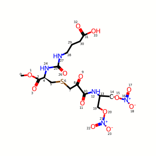 COC(=O)[C@H](CSCC(=O)C(=O)NC(CO[N+](=O)[O-])CO[N+](=O)[O-])NC(=O)NCCCC(=O)O